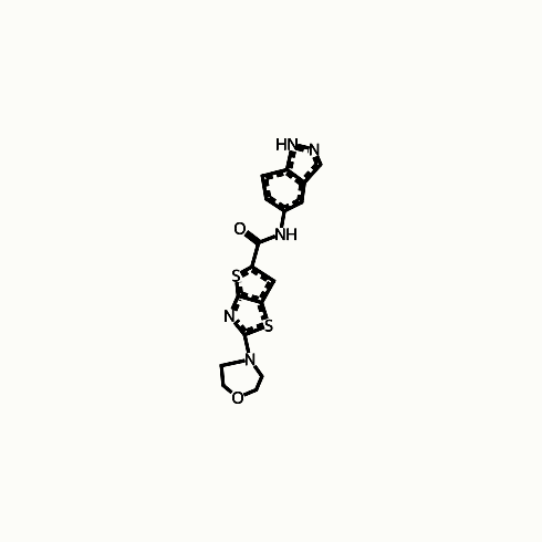 O=C(Nc1ccc2[nH]ncc2c1)c1cc2sc(N3CCOCC3)nc2s1